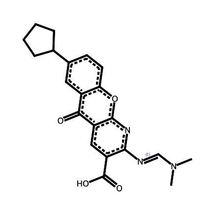 CN(C)/C=N/c1nc2oc3ccc(C4CCCC4)cc3c(=O)c2cc1C(=O)O